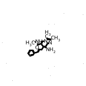 CNC(=O)c1cn2c(C)c(C)nc2c(N)c1C/C=C/c1ccccc1